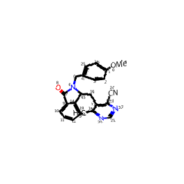 COc1ccc(CN2C(=O)c3ccccc3C2Cc2c(C)ncnc2C#N)cc1